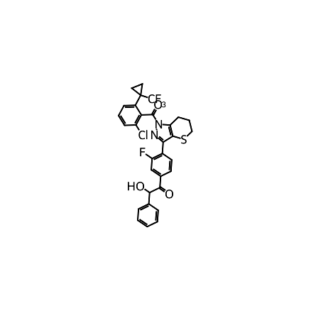 O=C(c1ccc(-c2nn(C(=O)c3c(Cl)cccc3C3(C(F)(F)F)CC3)c3c2SCCC3)c(F)c1)C(O)c1ccccc1